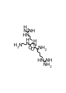 N=C(N)NCCCC[C@H](N)C(=O)N[C@@H](CCCNC(=N)N)C(=O)NCCN